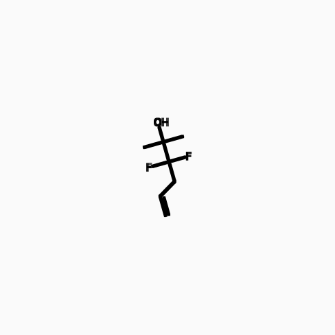 C=CCC(F)(F)C(C)(C)O